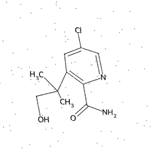 CC(C)(CO)c1cc(Cl)cnc1C(N)=O